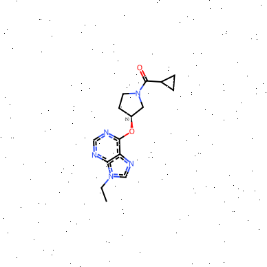 CCn1cnc2c(O[C@H]3CCN(C(=O)C4CC4)C3)ncnc21